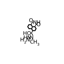 CCN(CC(O)c1ccc2c3c(cccc13)C(=O)NC2=O)NN